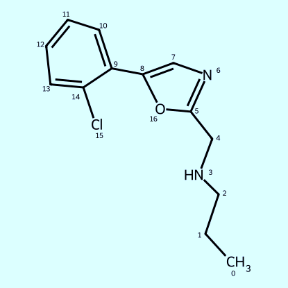 CCCNCc1ncc(-c2ccccc2Cl)o1